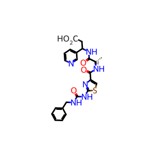 C[C@H](NC(=O)c1csc(NC(=O)NCc2ccccc2)n1)C(=O)NC(CC(=O)O)c1cccnc1